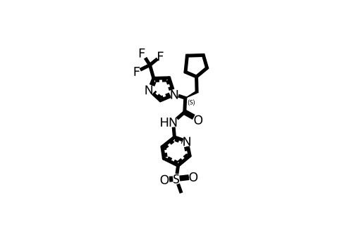 CS(=O)(=O)c1ccc(NC(=O)[C@H](CC2CCCC2)n2cnc(C(F)(F)F)c2)nc1